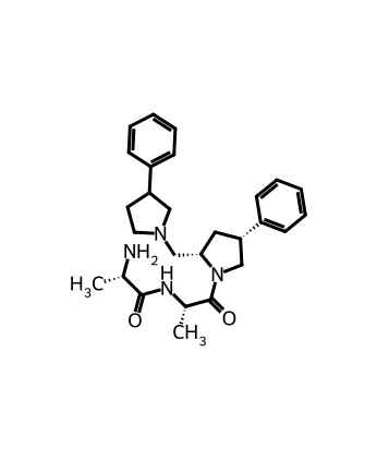 C[C@H](N)C(=O)N[C@@H](C)C(=O)N1C[C@@H](c2ccccc2)C[C@H]1CN1CCC(c2ccccc2)C1